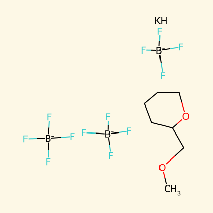 COCC1CCCCO1.F[B-](F)(F)F.F[B-](F)(F)F.F[B-](F)(F)F.[KH]